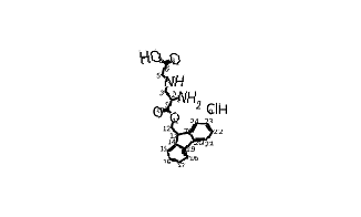 Cl.NC(CNCC(=O)O)C(=O)OCC1c2ccccc2-c2ccccc21